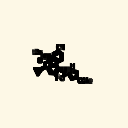 CO[C@H]1CN[C@@H](C(=O)Nc2cc([C@](CCC3CC3)(N[S@+]([O-])C(C)(C)C)c3cccc(C#N)c3)ccc2F)C1